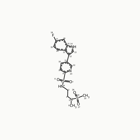 CN(CCNS(=O)(=O)c1ccc(-c2c[nH]c3cc(F)ccc23)cn1)S(C)(=O)=O